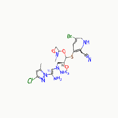 CO[C@@H](CN(N)/C=C(\N)n1nc(Cl)cc1C)C(OC1CON1C)SC1=C(C#N)NCC(Br)=C1